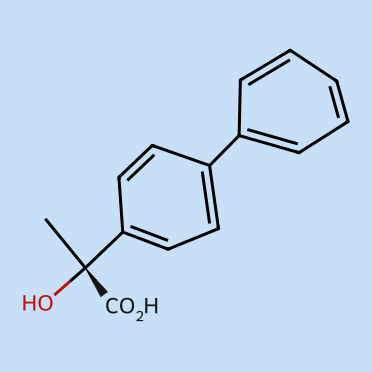 C[C@](O)(C(=O)O)c1ccc(-c2ccccc2)cc1